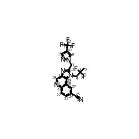 CC(F)(F)Cn1c(Cn2cc(C(F)(F)F)cn2)nc2cnc3ccc(C#N)cc3c21